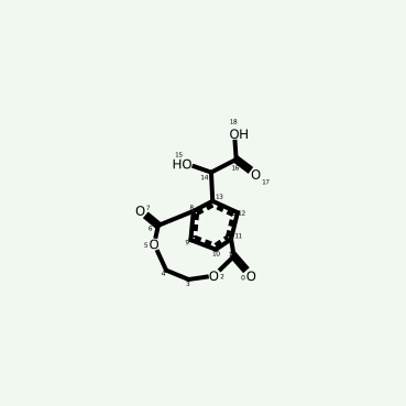 O=C1OCCOC(=O)c2ccc1cc2C(O)C(=O)O